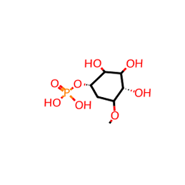 COC1C[C@H](OP(=O)(O)O)C(O)C(O)[C@@H]1O